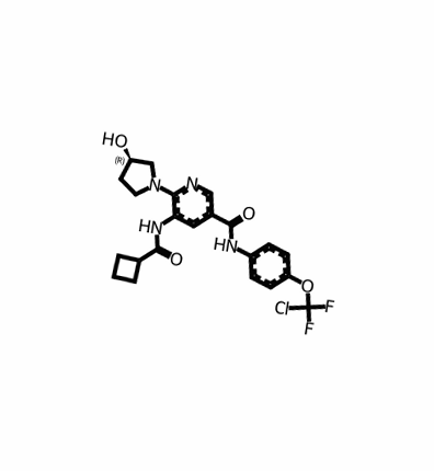 O=C(Nc1ccc(OC(F)(F)Cl)cc1)c1cnc(N2CC[C@@H](O)C2)c(NC(=O)C2CCC2)c1